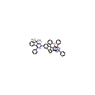 CC1(C)c2ccccc2-c2c(-c3ccccc3)nc(-c3ccc4c(c3)-c3cccc(-c5nc(-c6ccccc6)nc(-c6ccccc6)n5)c3C43c4ccccc4Oc4ccccc43)nc21